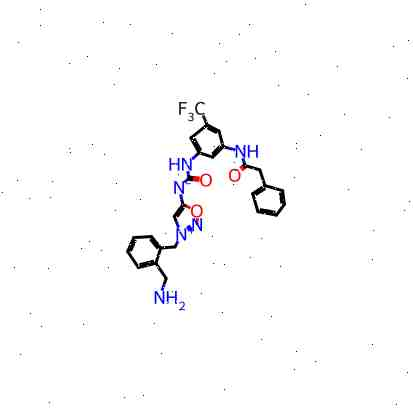 NCc1ccccc1C[n+]1cc([N-]C(=O)Nc2cc(NC(=O)Cc3ccccc3)cc(C(F)(F)F)c2)on1